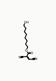 N#CC=C(C#N)C(=O)OCCCCCCCCO